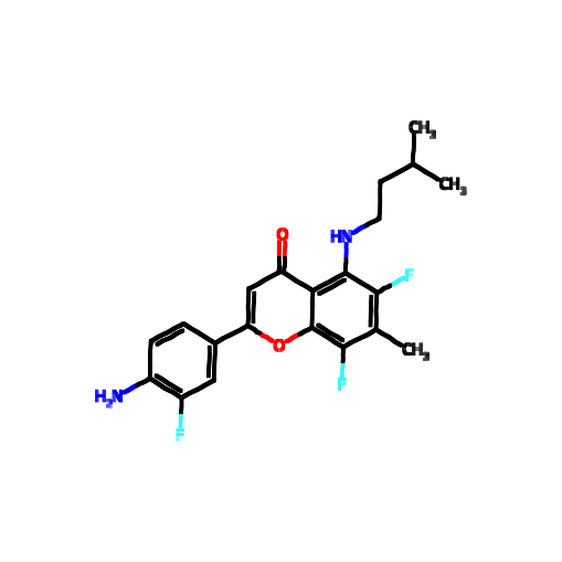 Cc1c(F)c(NCCC(C)C)c2c(=O)cc(-c3ccc(N)c(F)c3)oc2c1F